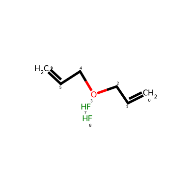 C=CCOCC=C.F.F